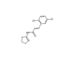 O=C(/C=C/c1cc(Cl)ccc1Cl)NC1=NCCS1